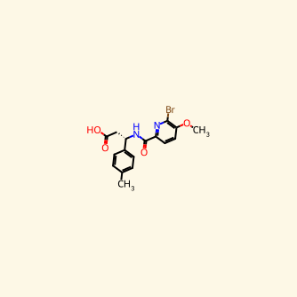 COc1ccc(C(=O)N[C@@H](CC(=O)O)c2ccc(C)cc2)nc1Br